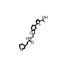 CC(O)c1ccc(-c2ccc3c(c2)CC(CNC(=O)/C=C/c2cccnc2)O3)s1